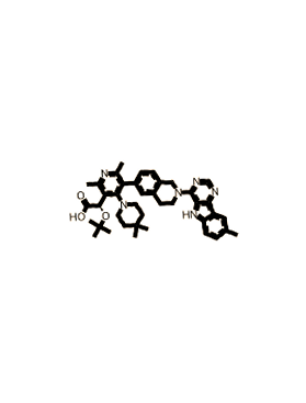 Cc1ccc2[nH]c3c(N4CCc5cc(-c6c(C)nc(C)c([C@H](OC(C)(C)C)C(=O)O)c6N6CCC(C)(C)CC6)ccc5C4)ncnc3c2c1